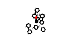 c1ccc(N(c2ccc(-n3c4ccccc4c4ccccc43)cc2)c2ccc3c(c2)C2(c4c-3cccc4-n3c4ccccc4c4ccccc43)C3CC4CC(C3)C2C4)cc1